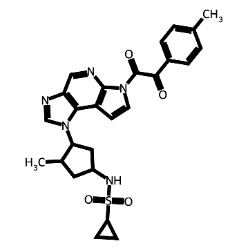 Cc1ccc(C(=O)C(=O)n2ccc3c2ncc2ncn(C4CC(NS(=O)(=O)C5CC5)CC4C)c23)cc1